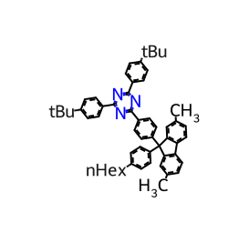 CCCCCCc1ccc(C2(c3ccc(-c4nc(-c5ccc(C(C)(C)C)cc5)nc(-c5ccc(C(C)(C)C)cc5)n4)cc3)c3cc(C)ccc3-c3ccc(C)cc32)cc1